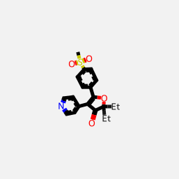 CCC1(CC)OC(c2ccc(S(C)(=O)=O)cc2)=C(c2ccncc2)C1=O